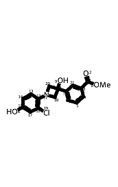 COC(=O)c1cccc(C2(O)CN(c3ccc(O)cc3Cl)C2)c1